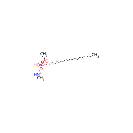 CCCCCCCCCCCCCCCCCCCCC(COP(O)OCCNC)OC(=O)CCC